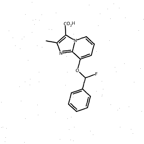 Cc1nc2c(OC(F)c3ccccc3)cccn2c1C(=O)O